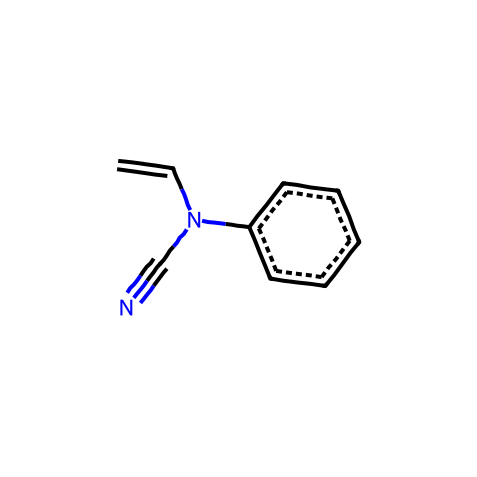 C=CN(C#N)c1ccccc1